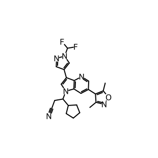 Cc1noc(C)c1-c1cnc2c(-c3cnn(C(F)F)c3)cn(C(CC#N)C3CCCC3)c2c1